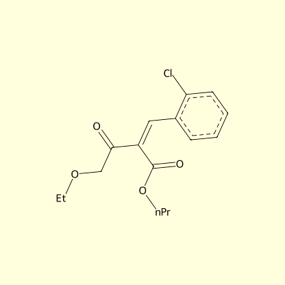 CCCOC(=O)/C(=C\c1ccccc1Cl)C(=O)COCC